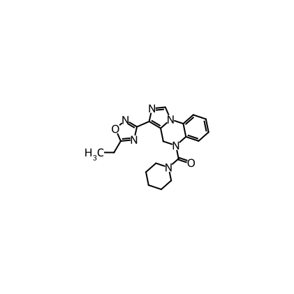 CCc1nc(-c2ncn3c2CN(C(=O)N2CCCCC2)c2ccccc2-3)no1